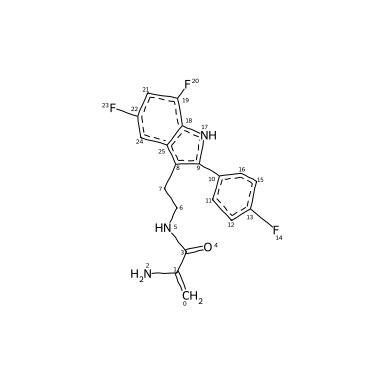 C=C(N)C(=O)NCCc1c(-c2ccc(F)cc2)[nH]c2c(F)cc(F)cc12